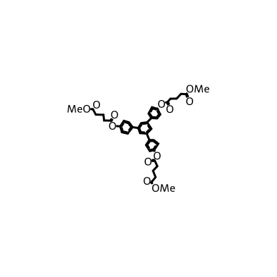 COC(=O)CCCC(=O)Oc1ccc(-c2cc(-c3ccc(OC(=O)CCCC(=O)OC)cc3)cc(-c3ccc(OC(=O)CCCC(=O)OC)cc3)c2)cc1